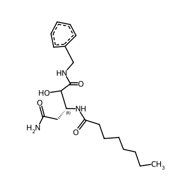 CCCCCCCC(=O)N[C@H](CC(N)=O)C(O)C(=O)NCc1ccccc1